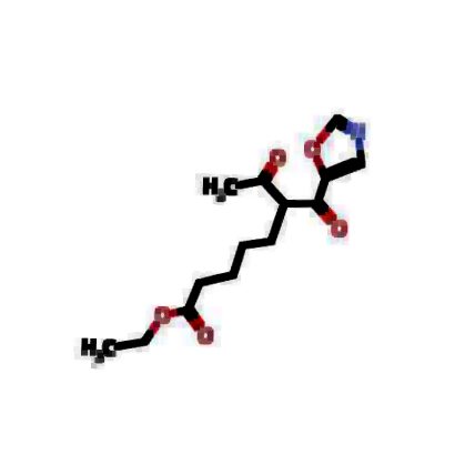 CCOC(=O)CCCCC(C(C)=O)C(=O)c1cnco1